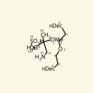 CCCCCCCCCCCCOCCCCCCCCCCCC.COC(C)(C)CN.O=S(=O)(O)O